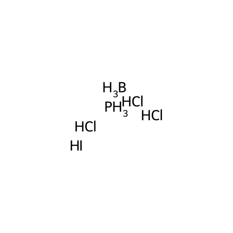 B.Cl.Cl.Cl.I.P